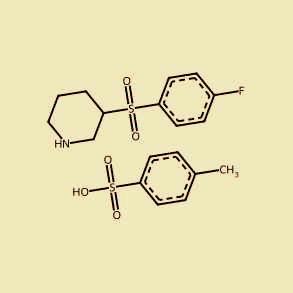 Cc1ccc(S(=O)(=O)O)cc1.O=S(=O)(c1ccc(F)cc1)C1CCCNC1